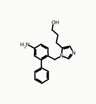 Nc1ccc(Cn2cncc2CCCO)c(-c2ccccc2)c1